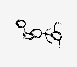 NCc1ccc(F)cc1C(O)(CF)c1ccc2c(cnn2-c2ccccc2)c1